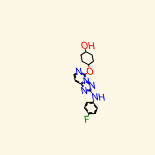 OC1CCC(Oc2nccc3nc(Nc4ccc(F)cc4)nn23)CC1